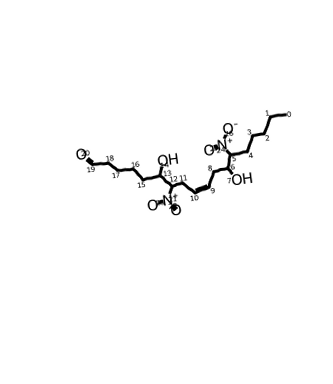 CCCCCC(C(O)C/C=C\CC(C(O)CCCCC=O)[N+](=O)[O-])[N+](=O)[O-]